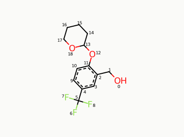 OCc1cc(C(F)(F)F)ccc1OC1CCCCO1